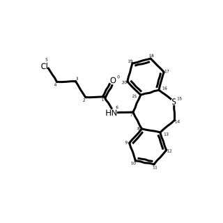 O=C(CCCCl)NC1c2ccccc2CSc2ccccc21